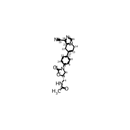 CC(=O)NC[C@H]1CN(c2ccc(C3=CCn4cnc(C#N)c4C3)cc2)C(=O)O1